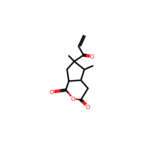 C=CC(=O)C1(C)CC2C(=O)OC(=O)CC2C1C